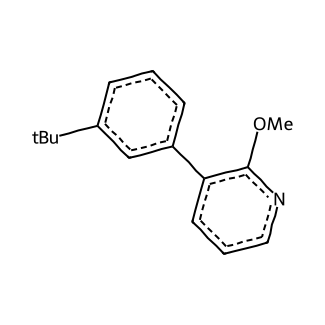 COc1ncccc1-c1cccc(C(C)(C)C)c1